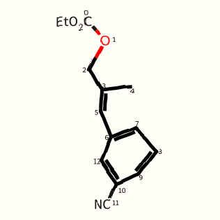 CCOC(=O)OC/C(C)=C/c1cccc(C#N)c1